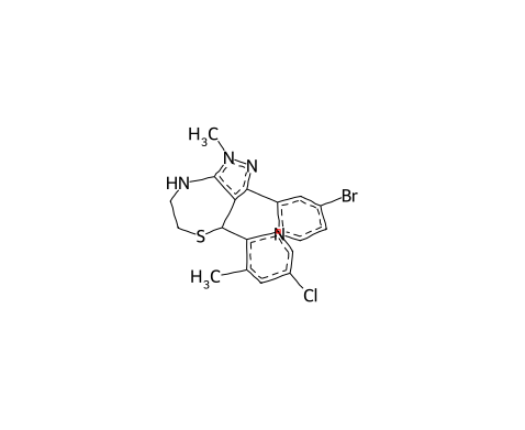 Cc1cc(Cl)ccc1C1SCCNc2c1c(-c1cc(Br)ccn1)nn2C